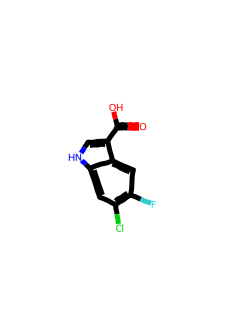 O=C(O)c1c[nH]c2cc(Cl)c(F)cc12